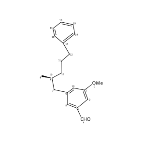 COc1cc(C=O)cc(C[C@@H](C)CCCc2ccccc2)c1